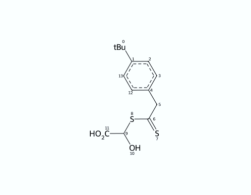 CC(C)(C)c1ccc(CC(=S)SC(O)C(=O)O)cc1